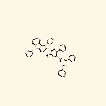 FC(F)(F)c1cc(-c2nc(-c3ccccc3)nc(-c3ccccc3)n2)c2c(oc3ccccc32)c1-n1c2ccccc2c2c3c4ccccc4n(-c4ccccc4)c3ccc21